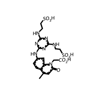 Cc1cc(=O)n(CC(=O)O)c2cc(Nc3nc(NCCS(=O)(=O)O)nc(NCCS(=O)(=O)O)n3)ccc12